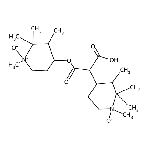 CC1C(OC(=O)C(C(=O)O)C2CC[N+](C)([O-])C(C)(C)C2C)CC[N+](C)([O-])C1(C)C